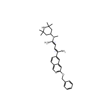 CN(/C(N)=C/C=C(\N)c1ccc2cnc(OCc3ccccc3)cc2c1)C1CC(C)(C)NC(C)(C)C1